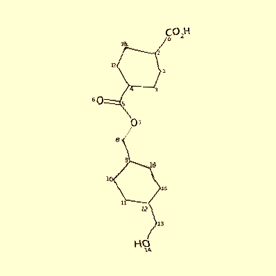 O=C(O)C1CCC(C(=O)OCC2CCC(CO)CC2)CC1